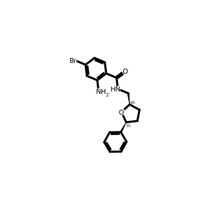 Nc1cc(Br)ccc1C(=O)NC[C@H]1CC[C@@H](c2ccccc2)O1